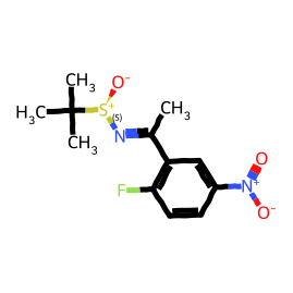 CC(=N[S@+]([O-])C(C)(C)C)c1cc([N+](=O)[O-])ccc1F